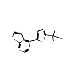 CCC(N)(C#N)c1ncc(-c2ncnc3[nH]ccc23)s1